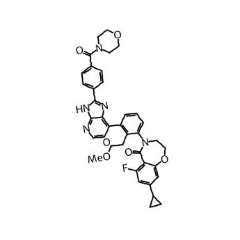 COC(=O)Cc1c(-c2ccnc3[nH]c(-c4ccc(C(=O)N5CCOCC5)cc4)nc23)cccc1N1CCOc2cc(C3CC3)cc(F)c2C1=O